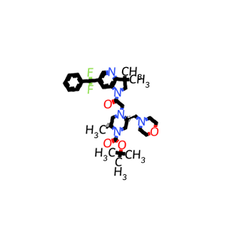 C[C@@H]1CN(CC(=O)N2CC(C)(C)c3ncc(C(F)(F)c4ccccc4)cc32)[C@@H](CN2CCOCC2)CN1C(=O)OC(C)(C)C